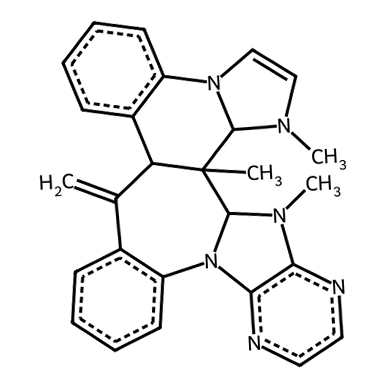 C=C1c2ccccc2N2c3nccnc3N(C)C2C2(C)C1c1ccccc1N1C=CN(C)C12